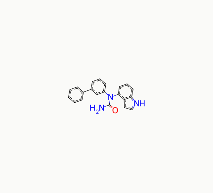 NC(=O)N(c1cccc(-c2ccccc2)c1)c1cccc2[nH]ccc12